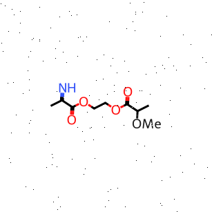 COC(C)C(=O)OCCOC(=O)C(C)=N